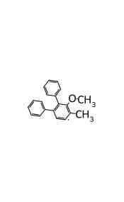 COc1c(C)[c]cc(-c2ccccc2)c1-c1ccccc1